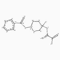 C=C(C)C(=O)OC1(C)CC[S+](CC(=O)c2ccccc2)CC1